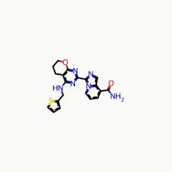 NC(=O)c1cccn2c(-c3nc(NCc4cccs4)c4c(n3)OCCC4)ncc12